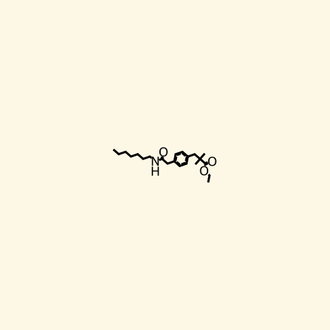 CCCCCCCNC(=O)Cc1ccc(CC(C)(C)C(=O)OCC)cc1